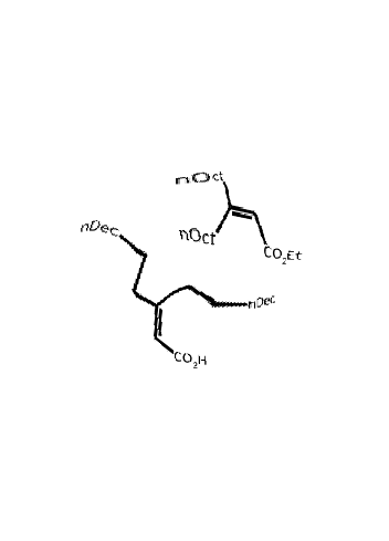 CCCCCCCCC(=CC(=O)OCC)CCCCCCCC.CCCCCCCCCCCCC(=CC(=O)O)CCCCCCCCCCCC